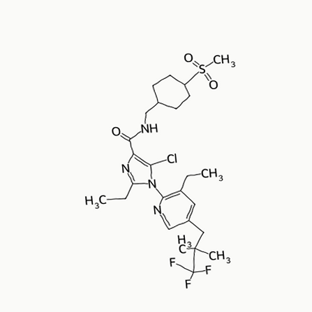 CCc1cc(CC(C)(C)C(F)(F)F)cnc1-n1c(CC)nc(C(=O)NCC2CCC(S(C)(=O)=O)CC2)c1Cl